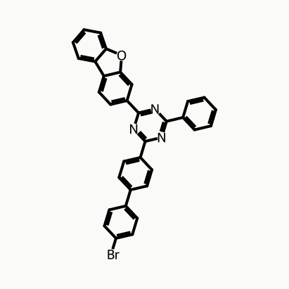 Brc1ccc(-c2ccc(-c3nc(-c4ccccc4)nc(-c4ccc5c(c4)oc4ccccc45)n3)cc2)cc1